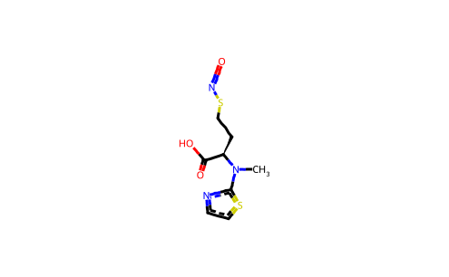 CN(c1nccs1)[C@H](CCSN=O)C(=O)O